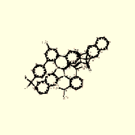 Cc1cc(-c2ccc(C(F)(F)F)cc2)c(N2/C(=C/C=C3C(=O)c4cc5ccccc5cc4C3=O)N(c3c(C(C)C)cccc3C(C)C)c3nc4ccccc4nc32)c(-c2ccc(C(F)(F)F)cc2)c1